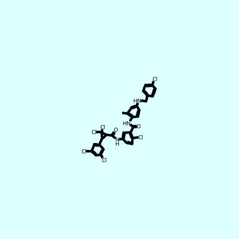 Cc1cc(NCc2ccc(Cl)cc2)ccc1NC(=O)c1cc(NC(=O)C2C(c3cc(Cl)cc(Cl)c3)C2(Cl)Cl)ccc1Cl